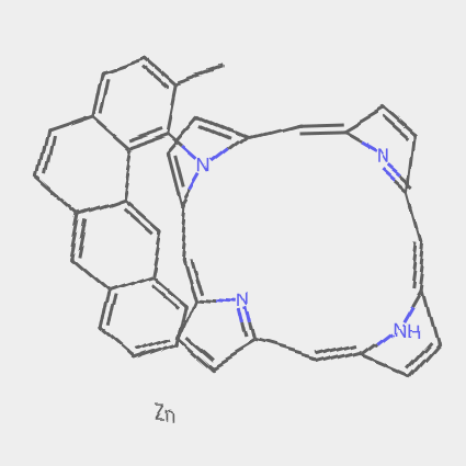 Cc1ccc2ccc3cc4ccccc4cc3c2c1-n1c2ccc1cc1nc(cc3ccc(cc4nc(c2)C=C4)[nH]3)C=C1.[Zn]